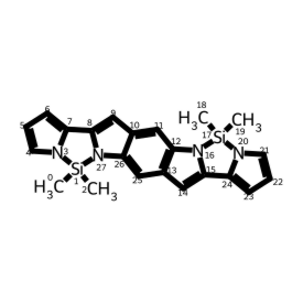 C[Si]1(C)n2cccc2-c2cc3cc4c(cc5n4[Si](C)(C)n4cccc4-5)cc3n21